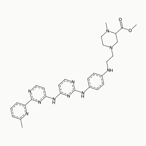 COC(=O)C1CN(CCNc2ccc(Nc3nccc(Nc4ccnc(-c5cccc(C)n5)n4)n3)cc2)CCN1C